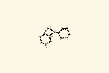 c1ccc(-n2cnc3ncncc32)cc1